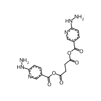 NNc1ccc(C(=O)OC(=O)CCC(=O)OC(=O)c2ccc(NN)nc2)cn1